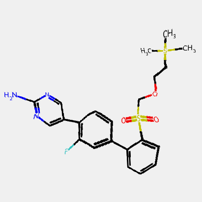 CS(C)(C)CCOCS(=O)(=O)c1ccccc1-c1ccc(-c2cnc(N)nc2)c(F)c1